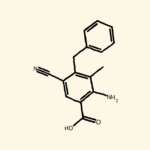 Cc1c(N)c(C(=O)O)cc(C#N)c1Cc1ccccc1